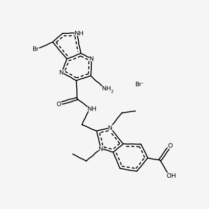 CCn1c(CNC(=O)c2nc3c(Br)c[nH]c3nc2N)[n+](CC)c2ccc(C(=O)O)cc21.[Br-]